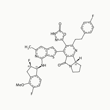 COc1c(F)ccc2c1C[C@@H](F)[C@H]2Nc1nc(C)cc2cc(-c3c4c(nc(CCc5ccc(F)cc5)c3-c3n[nH]c(=O)o3)[C@@H]3CCCN3C4=O)sc12